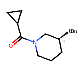 CC(C)(C)[C@H]1CCCN(C(=O)C2CC2)C1